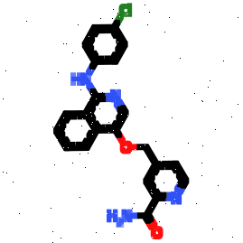 NC(=O)c1cc(COc2cnc(Nc3ccc(Cl)cc3)c3ccccc23)ccn1